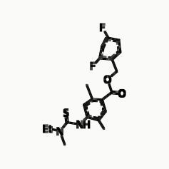 CCN(C)C(=S)Nc1cc(C)c(C(=O)OCc2ccc(F)cc2F)cc1C